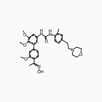 COc1cc(-c2cc(NC(=O)Nc3ccc(CCN4CCOCC4)cc3C)cc(OC)c2OC)ccc1C(C)=NO